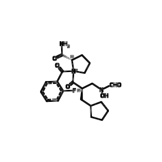 NC(=O)[C@@H]1CCC[N+]1(C(=O)c1ccccc1F)C(=O)[C@H](CC1CCCC1)CN(O)C=O